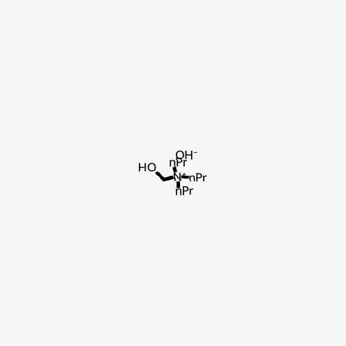 CCC[N+](CO)(CCC)CCC.[OH-]